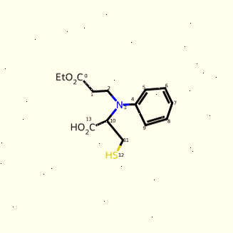 CCOC(=O)CCN(c1ccccc1)C(CS)C(=O)O